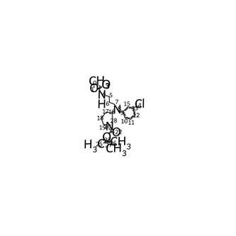 COC(=O)NCCCN(c1cccc(Cl)c1)C1CCCN(C(=O)OC(C)(C)C)C1